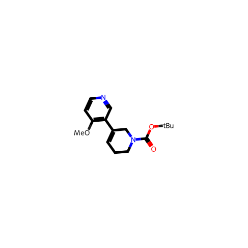 COc1ccncc1C1=CCCN(C(=O)OC(C)(C)C)C1